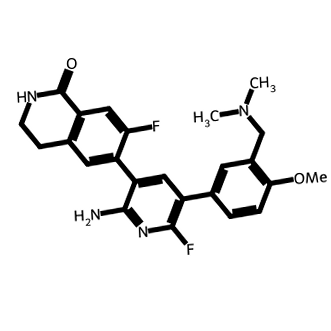 COc1ccc(-c2cc(-c3cc4c(cc3F)C(=O)NCC4)c(N)nc2F)cc1CN(C)C